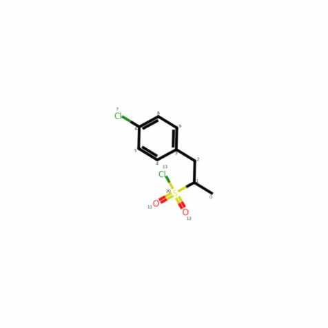 CC(Cc1ccc(Cl)cc1)S(=O)(=O)Cl